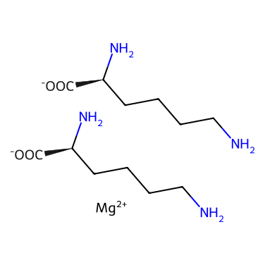 NCCCC[C@H](N)C(=O)[O-].NCCCC[C@H](N)C(=O)[O-].[Mg+2]